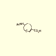 CC(=O)NC1CCC/C=C(/C(=O)O)CCC1